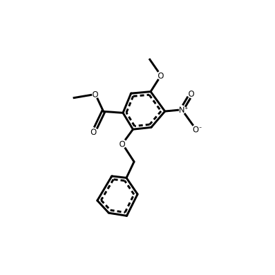 COC(=O)c1cc(OC)c([N+](=O)[O-])cc1OCc1ccccc1